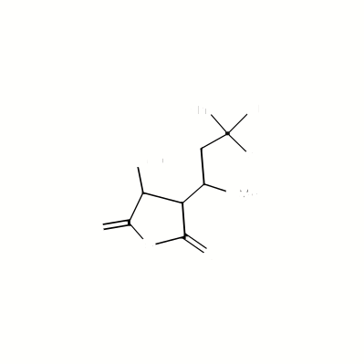 CCCC(C)C1C(=O)OC(=O)C1C(CC(C)(C)CCC)OC